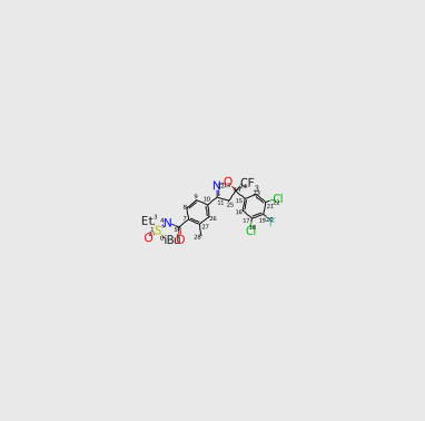 CCC(C)S(=O)(CC)=NC(=O)c1ccc(C2=NOC(c3cc(Cl)c(F)c(Cl)c3)(C(F)(F)F)C2)cc1C